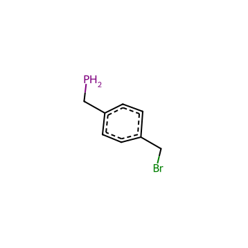 PCc1ccc(CBr)cc1